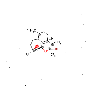 C[C@@H]1CC[C@H]2[C@@H](C)[C@](Br)(C(F)(F)F)O[C@@H]3O[C@]4(C)CCC1[C@]32OO4